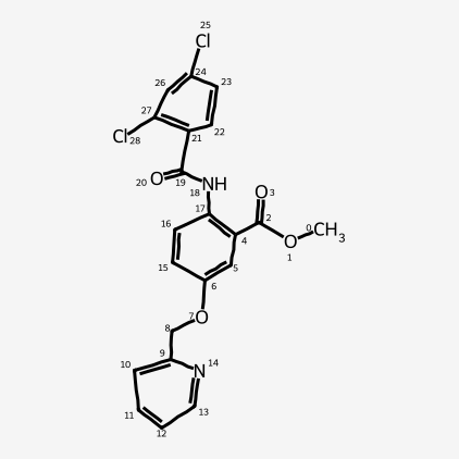 COC(=O)c1cc(OCc2ccccn2)ccc1NC(=O)c1ccc(Cl)cc1Cl